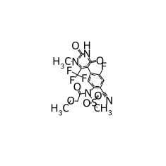 COCC(=O)N(c1cc(-c2c(C(F)(F)F)n(C)c(=O)[nH]c2=O)c(F)cc1C#N)S(C)(=O)=O